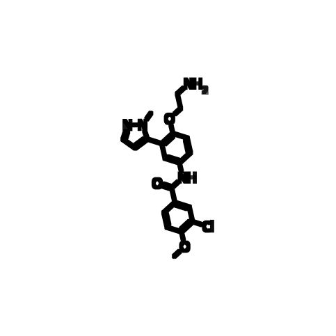 COc1ccc(C(=O)Nc2ccc(OCCN)c(-c3ccnn3C)c2)cc1Cl